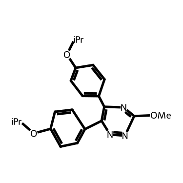 COc1nnc(-c2ccc(OC(C)C)cc2)c(-c2ccc(OC(C)C)cc2)n1